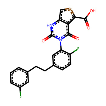 O=C(O)c1scc2[nH]c(=O)n(-c3cc(CCc4cccc(F)c4)ccc3F)c(=O)c12